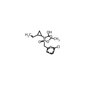 C=CC1CC1N(C(=O)O)P(=O)(Cc1cccc(Cl)n1)OCC